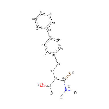 CC(=O)C(CCc1ccc(-c2ccccc2)cc1)C(=S)N(C)C